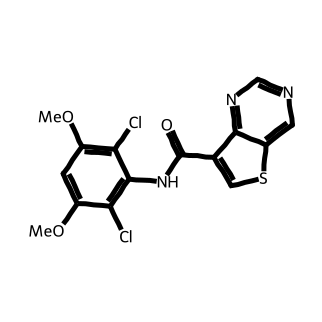 COc1cc(OC)c(Cl)c(NC(=O)c2csc3cncnc23)c1Cl